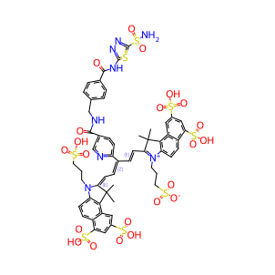 CC1(C)C(/C=C/C(=C/C=C2/N(CCCS(=O)(=O)O)c3ccc4c(S(=O)(=O)O)cc(S(=O)(=O)O)cc4c3C2(C)C)c2ccc(C(=O)NCc3ccc(C(=O)Nc4nnc(S(N)(=O)=O)s4)cc3)cn2)=[N+](CCCS(=O)(=O)[O-])c2ccc3c(S(=O)(=O)O)cc(S(=O)(=O)O)cc3c21